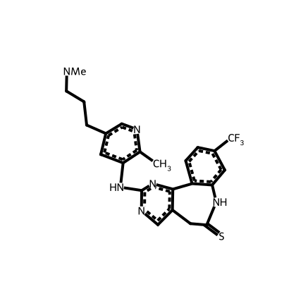 CNCCCc1cnc(C)c(Nc2ncc3c(n2)-c2ccc(C(F)(F)F)cc2NC(=S)C3)c1